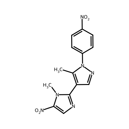 Cc1c(-c2ncc([N+](=O)[O-])n2C)cnn1-c1ccc([N+](=O)[O-])cc1